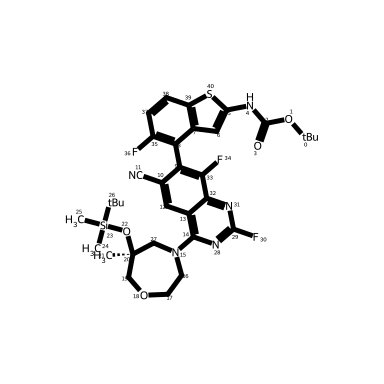 CC(C)(C)OC(=O)Nc1cc2c(-c3c(C#N)cc4c(N5CCOC[C@@](C)(O[Si](C)(C)C(C)(C)C)C5)nc(F)nc4c3F)c(F)ccc2s1